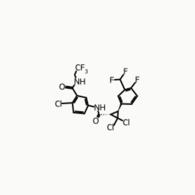 O=C(NCC(F)(F)F)c1cc(NC(=O)[C@@H]2[C@@H](c3ccc(F)c(C(F)F)c3)C2(Cl)Cl)ccc1Cl